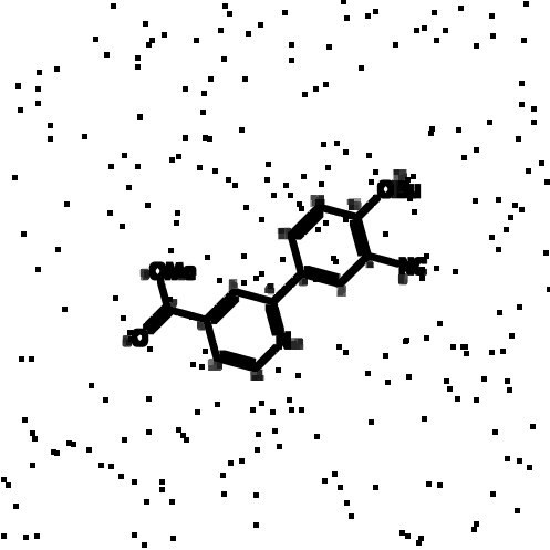 [C-]#[N+]c1cc(-c2cc(C(=O)OC)ccn2)ccc1OCC(C)C